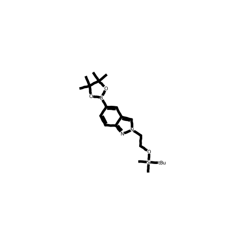 CC1(C)OB(c2ccc3nn(CCO[Si](C)(C)C(C)(C)C)cc3c2)OC1(C)C